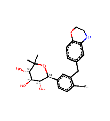 CCc1ccc([C@@H]2OC(C)(C)[C@@H](O)[C@H](O)[C@H]2O)cc1Cc1ccc2c(c1)NCCO2